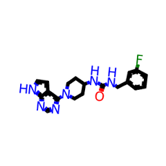 O=C(NCc1cccc(F)c1)NC1CCN(c2ncnc3[nH]ccc23)CC1